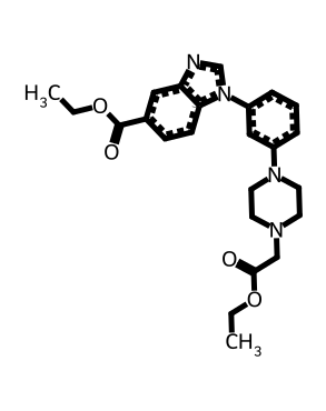 CCOC(=O)CN1CCN(c2cccc(-n3cnc4cc(C(=O)OCC)ccc43)c2)CC1